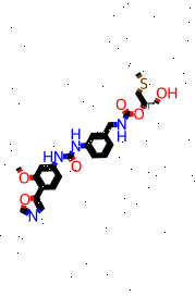 COc1cc(NC(=O)Nc2cccc(CNC(=O)O[C@@H](CO)CSC)c2)ccc1-c1cnco1